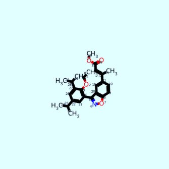 CCOc1c(-c2noc3ccc(C(C)=CC(=O)OC)cc23)cc(C(C)C)cc1C(C)C